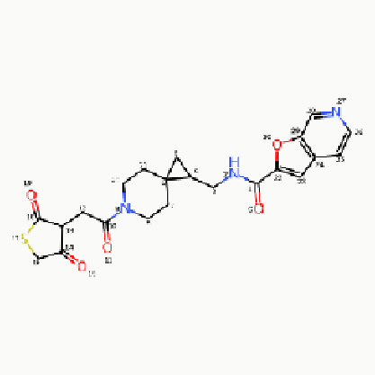 O=C(NCC1CC12CCN(C(=O)CC1C(=O)CSC1=O)CC2)c1cc2ccncc2o1